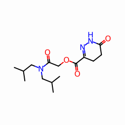 CC(C)CN(CC(C)C)C(=O)COC(=O)C1=NNC(=O)CC1